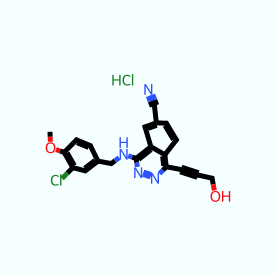 COc1ccc(CNc2nnc(C#CCO)c3ccc(C#N)cc23)cc1Cl.Cl